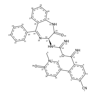 Cn1cc(-c2cc(C#N)ccc2C(=N)OC(=N)N[C@H]2N=C(c3ccccc3)c3ccccc3NC2=O)ccc1=O